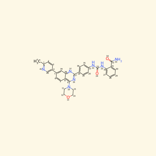 Cc1ccc(-c2ccc3c(N4CCOCC4)nc(-c4ccc(NC(=O)Nc5ccccc5C(N)=O)cc4)nc3c2)cn1